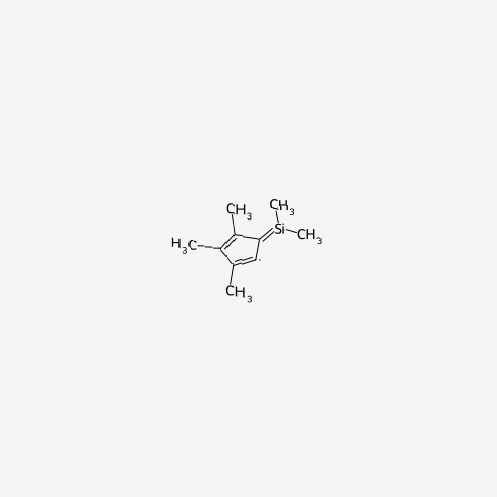 CC1=[C]C(=[Si](C)C)C(C)=C1C